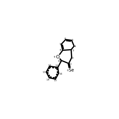 [Se]=C1CC2CC=CC=C2OC1c1ccccc1